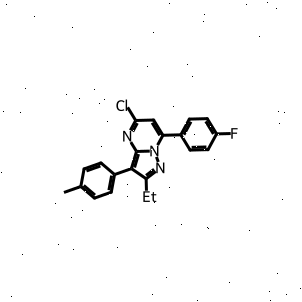 CCc1nn2c(-c3ccc(F)cc3)cc(Cl)nc2c1-c1ccc(C)cc1